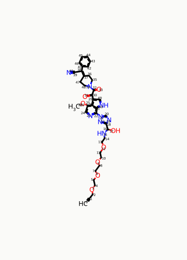 C#CCOCCOCCOCCOCCNC(O)c1ncn(-c2ncc(OC)c3c(C(=O)C(=O)N4CCC(=C(C#N)c5ccccc5)CC4)c[nH]c23)n1